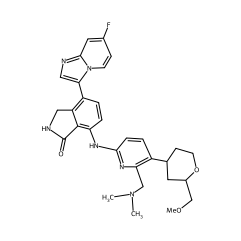 COCC1CC(c2ccc(Nc3ccc(-c4cnc5cc(F)ccn45)c4c3C(=O)NC4)nc2CN(C)C)CCO1